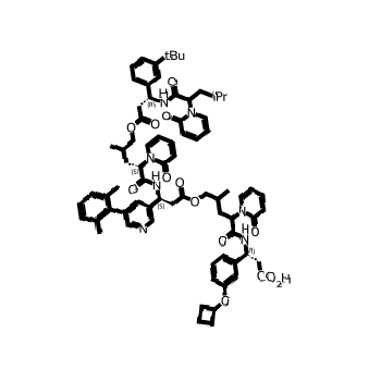 Cc1cccc(C)c1-c1cncc([C@H](CC(=O)OCC(C)CC(C(=O)N[C@H](CC(=O)O)c2cccc(OC3CCC3)c2)n2ccccc2=O)NC(=O)[C@H](CC(C)COC(=O)C[C@@H](NC(=O)C(CC(C)C)n2ccccc2=O)c2cccc(C(C)(C)C)c2)n2ccccc2=O)c1